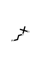 CCC(C)(C)OCCC(C)C